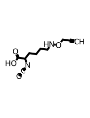 C#CCONCCCCC(N=C=O)C(=O)O